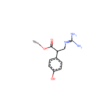 CC(C)(C)OC(=O)C(CN=C(N)N)c1ccc(O)cc1